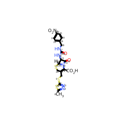 Cc1nnc(SCC2=C(C(=O)O)N3C(=O)C(NC(=O)NCc4ccc([N+](=O)[O-])cc4)[C@@H]3SC2)s1